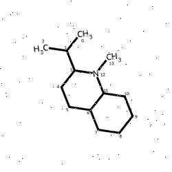 CC(C)C1CCC2CCCCC2N1C